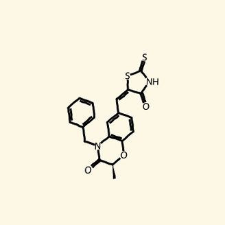 C[C@@H]1Oc2ccc(/C=C3/SC(=S)NC3=O)cc2N(Cc2ccccc2)C1=O